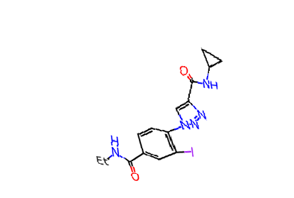 CCNC(=O)c1ccc(-n2cc(C(=O)NC3CC3)nn2)c(I)c1